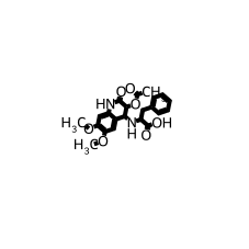 COc1cc2c(cc1OC)C(NC(Cc1ccccc1)C(=O)O)C(OC(C)=O)C(=O)N2